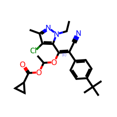 CCn1nc(C)c(Cl)c1/C(OC(C)OC(=O)C1CC1)=C(\C#N)c1ccc(C(C)(C)C)cc1